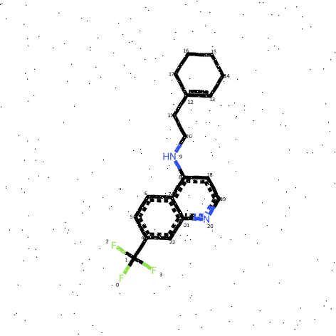 FC(F)(F)c1ccc2c(NCCC3=CCCCC3)ccnc2c1